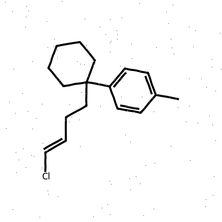 Cc1ccc(C2(CC/C=C/Cl)CCCCC2)cc1